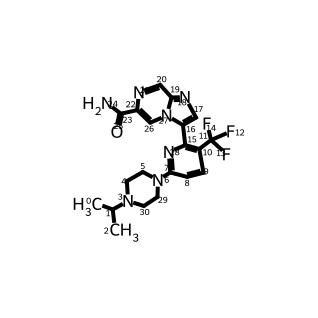 CC(C)N1CCN(c2ccc(C(F)(F)F)c(-c3cnc4cnc(C(N)=O)cn34)n2)CC1